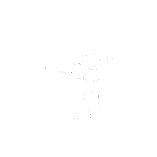 CC=Cc1cc(N(CCC(F)(F)F)C(=O)OC(C)(C)C)c2ncc(-c3ccc(C(=O)OC)c(C)c3)n2c1